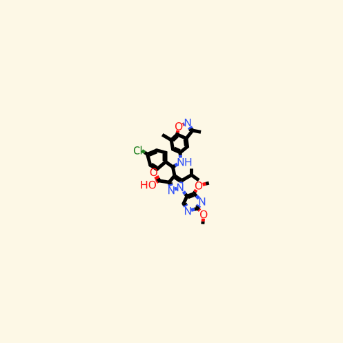 COc1ncc(-n2nc(C(=O)O)c(C(Nc3cc(C)c4onc(C)c4c3)c3ccc(Cl)cc3)c2C(C)C)c(OC)n1